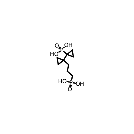 O=P(O)(O)CCCC1(C2(P(=O)(O)O)CC2)CC1